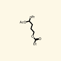 [CH2]CCC(CCCOC(=O)CC)OC(C)=O